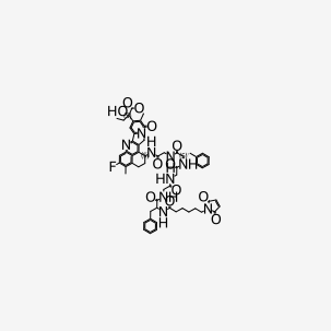 CC[C@@]1(O)C(=O)OCc2c1cc1n(c2=O)Cc2c-1nc1cc(F)c(C)c3c1c2[C@@H](NC(=O)CNC(=O)[C@H](Cc1ccccc1)NC(=O)CNC(=O)CNC(=O)C(Cc1ccccc1)NC(=O)CCCCCN1C(=O)C=CC1=O)CC3